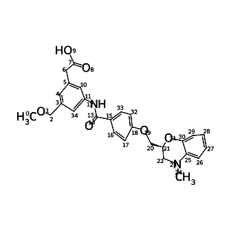 COCc1cc(CC(=O)O)cc(NC(=O)c2ccc(OC[C@@H]3CN(C)c4ccccc4O3)cc2)c1